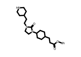 CC(C)OC(=O)CCC1CCC(N2CCN(CCC3CCNCC3)C2=O)CC1